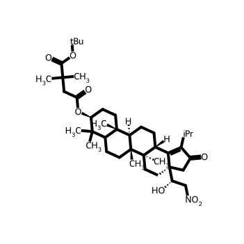 CC(C)C1=C2[C@H]3CC[C@@H]4[C@@]5(C)CC[C@H](OC(=O)CC(C)(C)C(=O)OC(C)(C)C)C(C)(C)C5CC[C@@]4(C)[C@]3(C)CC[C@@]2([C@@H](O)C[N+](=O)[O-])CC1=O